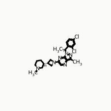 Cc1nn([C@H](C)c2ccc(Cl)cc2Cl)c2nc(N3CC([C@H]4CCCN(C)C4)C3)cnc12